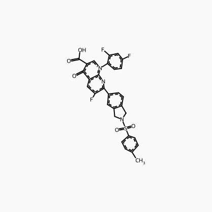 Cc1ccc(S(=O)(=O)N2Cc3ccc(-c4nc5c(cc4F)c(=O)c(C(=O)O)cn5-c4ccc(F)cc4F)cc3C2)cc1